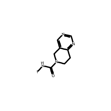 O=C(NI)N1CCc2ncncc2C1